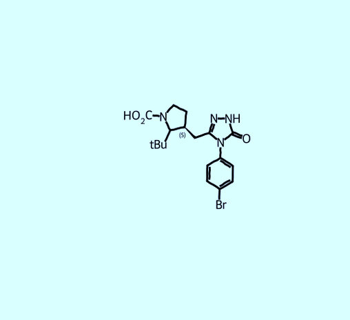 CC(C)(C)C1[C@H](Cc2n[nH]c(=O)n2-c2ccc(Br)cc2)CCN1C(=O)O